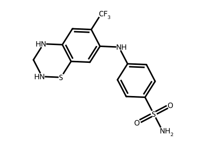 NS(=O)(=O)c1ccc(Nc2cc3c(cc2C(F)(F)F)NCNS3)cc1